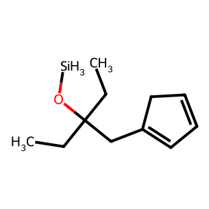 CCC(CC)(CC1=CC=CC1)O[SiH3]